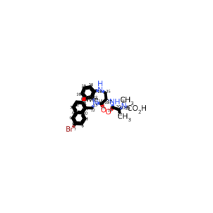 COc1ccc2cc(Br)ccc2c1CN1C(=O)[C@@H](NC(=O)C(C)N(C)C(=O)O)CNc2ccccc21